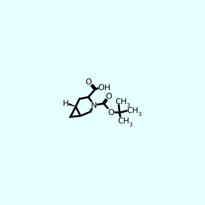 CC(C)(C)OC(=O)N1CC2C[C@@H]2CC1C(=O)O